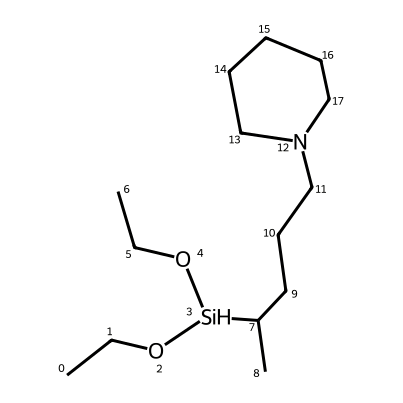 CCO[SiH](OCC)C(C)CCCN1CCCCC1